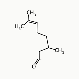 CC(C)=CCCC(C)C[C]=O